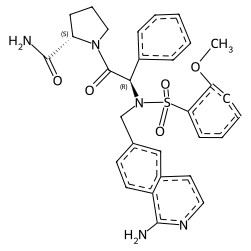 COc1ccccc1S(=O)(=O)N(Cc1ccc2c(N)nccc2c1)[C@@H](C(=O)N1CCC[C@H]1C(N)=O)c1ccccc1